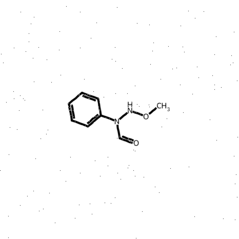 CONN([C]=O)c1ccccc1